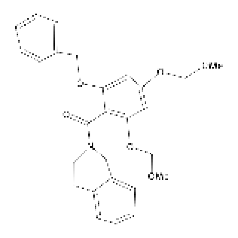 COCOc1cc(OCOC)c(C(=O)N2CCc3ccccc3C2)c(OCc2ccccc2)c1